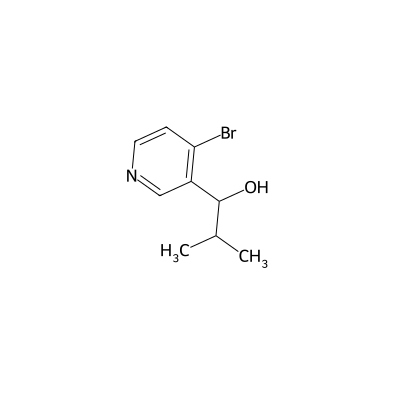 CC(C)C(O)c1cnccc1Br